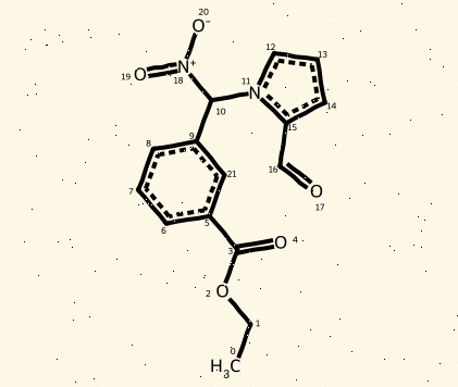 CCOC(=O)c1cccc(C(n2cccc2C=O)[N+](=O)[O-])c1